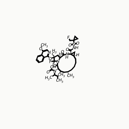 CCC(C)N(C(=O)O)[C@@H]1C(=O)N2[C@@H](C[C@@](C)(Oc3ncc(OC)c4ccccc34)C2(F)F)C(=O)N[C@]2(C(=O)NS(=O)(=O)C3(CF)CC3)C[C@H]2CCCC[C@H](C)C[C@H]1C